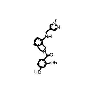 Cn1cc(CNc2cccc3c2CN(C(=O)c2ccc(O)cc2O)C3)cn1